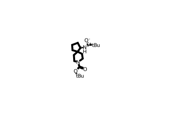 CC(C)(C)OC(=O)N1CCC2(CCC[C@H]2N[S+]([O-])C(C)(C)C)CC1